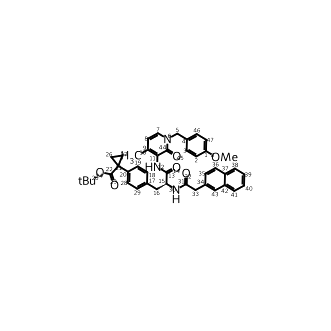 COc1ccc(Cn2ccc(C)c(NC(=O)[C@H](Cc3ccc(C4(C(=O)OC(C)(C)C)CC4)cc3)NC(=O)Cc3ccc4ccccc4c3)c2=O)cc1